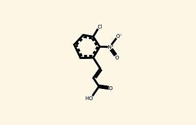 O=C(O)/C=C/c1cccc(Cl)c1[N+](=O)[O-]